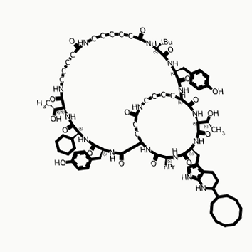 CCC[C@@H]1NC(=O)[C@H](Cc2c[nH]c3c2CCC(C2CCCCCCCCC2)N3)NC(=O)[C@H]([C@@H](C)O)NC(=O)[C@@H]2CCCCNC(=O)CCC(NC1=O)C(=O)N[C@@H](Cc1ccc(O)cc1)C(=O)N[C@@H](C1CCCCC1)C(=O)N[C@@H]([C@@H](C)O)C(=O)NCCCCC(=O)NCCCCCC(=O)N[C@@H](C(C)(C)C)C(=O)N[C@@H](Cc1ccc(O)cc1)C(=O)N2